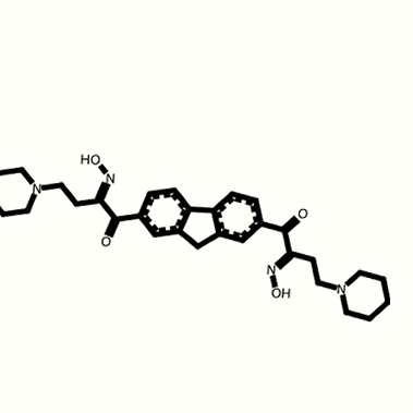 O=C(C(CCN1CCCCC1)=NO)c1ccc2c(c1)Cc1cc(C(=O)C(CCN3CCCCC3)=NO)ccc1-2